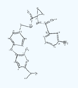 CC(O)c1ccc(Oc2ccc(CNC(=O)C3(NC(=O)c4cccc(N)n4)CC3)nc2)c(C(F)(F)F)c1